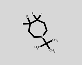 CC(C)(C)N1CCC(F)(F)C(F)(F)CC1